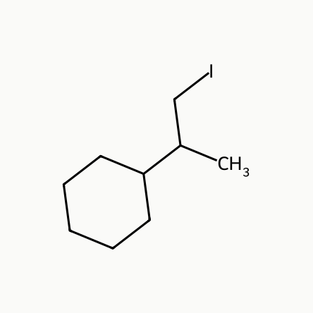 CC(CI)C1CCCCC1